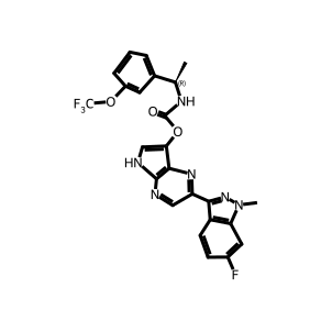 C[C@@H](NC(=O)Oc1c[nH]c2ncc(-c3nn(C)c4cc(F)ccc34)nc12)c1cccc(OC(F)(F)F)c1